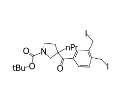 CCCC1(C(=O)c2ccc(CI)c(CI)c2)CCN(C(=O)OC(C)(C)C)C1